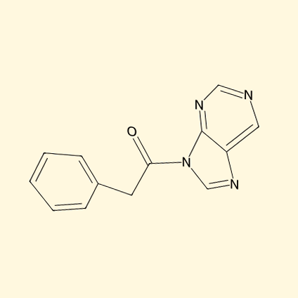 O=C(Cc1ccccc1)n1cnc2cncnc21